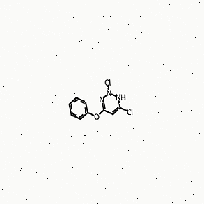 ClC1=CC(Oc2ccccc2)=NN(Cl)N1